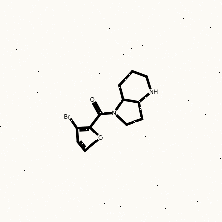 O=C(c1occc1Br)N1CCC2NCCCC21